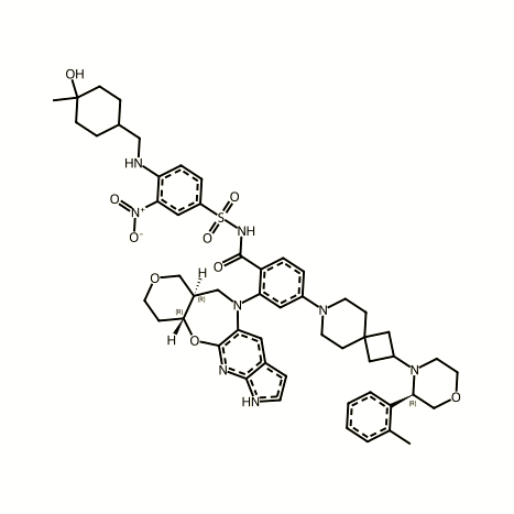 Cc1ccccc1[C@@H]1COCCN1C1CC2(CCN(c3ccc(C(=O)NS(=O)(=O)c4ccc(NCC5CCC(C)(O)CC5)c([N+](=O)[O-])c4)c(N4C[C@@H]5COCC[C@H]5Oc5nc6[nH]ccc6cc54)c3)CC2)C1